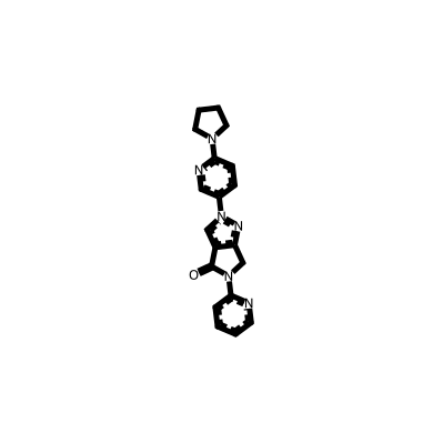 O=C1c2cn(-c3ccc(N4CCCC4)nc3)nc2CN1c1ccccn1